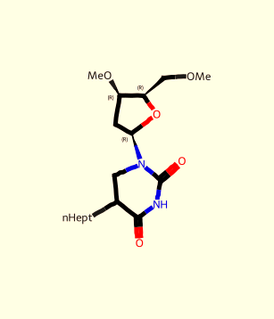 CCCCCCCC1CN([C@H]2C[C@@H](OC)[C@@H](COC)O2)C(=O)NC1=O